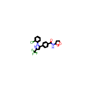 O=C(NC1CCOO1)c1ccc(-c2cc(C(F)(F)F)nn2-c2ccccc2Cl)cc1